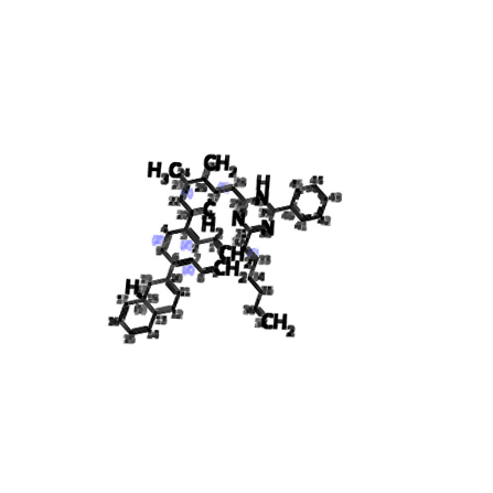 C=C/C=C(/C=C\C(=C\C=C)C1=CC=C2C=CC=C[C@@H]2C1)C(=C)/C=C(/C)C(=C)/C=C/C1=NC(/C=C/CCC=C)=NC(c2ccccc2)N1